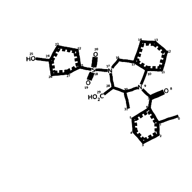 Cc1ccccc1C(=O)N1c2ccccc2CN(S(=O)(=O)c2ccc(O)cc2)C(C(=O)O)C1C